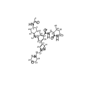 CC(=O)N[C@H]1CC[C@@H](N(C)c2cc(-c3cnn(CCN4CCOCC4)c3)cc(C(=O)NCC3C(=O)NC(C)CC3C)c2C)CC1